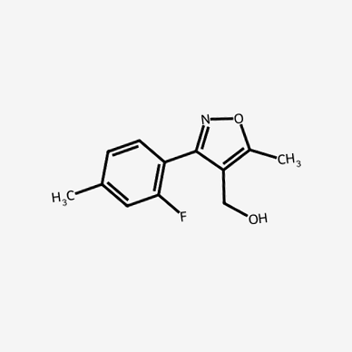 Cc1ccc(-c2noc(C)c2CO)c(F)c1